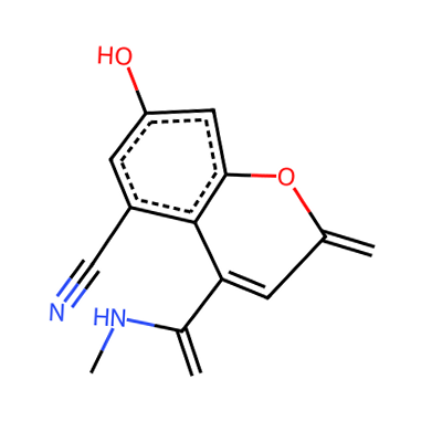 C=C1C=C(C(=C)NC)c2c(C#N)cc(O)cc2O1